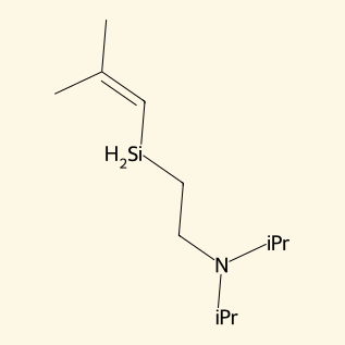 CC(C)=C[SiH2]CCN(C(C)C)C(C)C